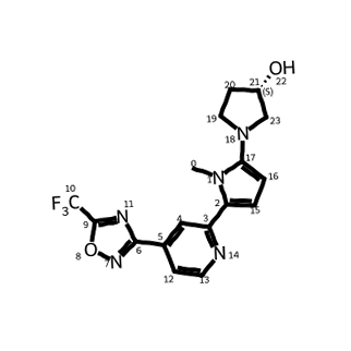 Cn1c(-c2cc(-c3noc(C(F)(F)F)n3)ccn2)ccc1N1CC[C@H](O)C1